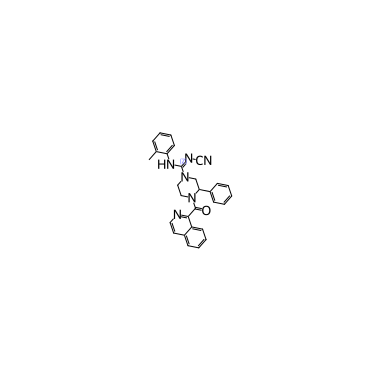 Cc1ccccc1N/C(=N/C#N)N1CCN(C(=O)c2nccc3ccccc23)C(c2ccccc2)C1